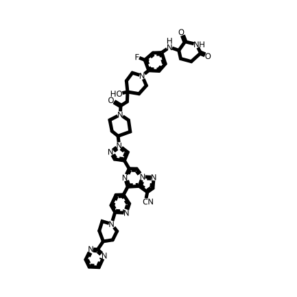 N#Cc1cnn2cc(-c3cnn(C4CCN(C(=O)CC5(O)CCN(c6ccc(NC7CCC(=O)NC7=O)cc6F)CC5)CC4)c3)nc(-c3ccc(N4CCC(c5ncccn5)CC4)nc3)c12